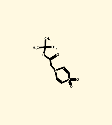 CC(C)(C)OC(=O)CN1C=CS(=O)(=O)C=C1